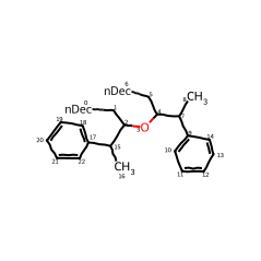 CCCCCCCCCCCC(OC(CCCCCCCCCCC)C(C)c1ccccc1)C(C)c1ccccc1